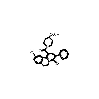 O=C(O)C1CCN(C(=O)c2cc(-c3ccccc3)c(=O)n3c2-c2cc(Cl)ccc2CC3)CC1